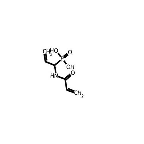 C=CC(=O)NC(C=C)P(=O)(O)O